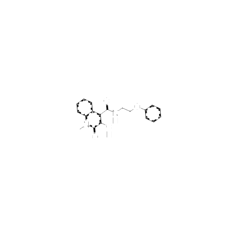 Cn1c(=O)c(O)c(C(=O)NCCOc2ccccc2)c2ccccc21